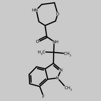 Cn1nc(C(C)(C)NC(=O)C2CNCCOC2)c2cccc(F)c21